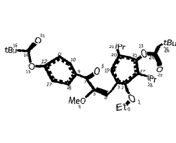 CCOc1c(C=C(OC)C(=O)c2ccc(OC(=O)C(C)(C)C)cc2)cc(C(C)C)c(OC(=O)C(C)(C)C)c1C(C)C